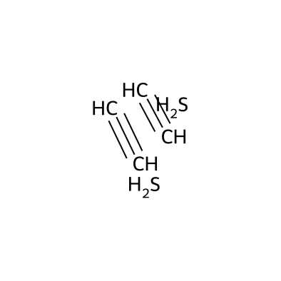 C#C.C#C.S.S